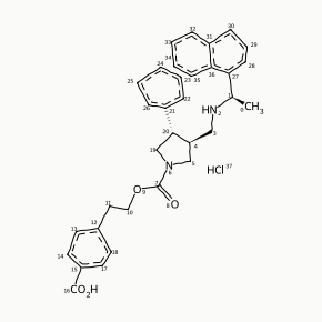 C[C@@H](NC[C@H]1CN(C(=O)OCCc2ccc(C(=O)O)cc2)C[C@@H]1c1ccccc1)c1cccc2ccccc12.Cl